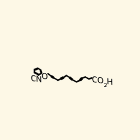 N#Cc1ccccc1OCC#CCC#CCC#CCC#CCCCC(=O)O